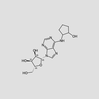 OC[C@H]1O[C@@H](n2cnc3c(NC4CCCC4O)ncnc32)[C@H](O)[C@@H]1O